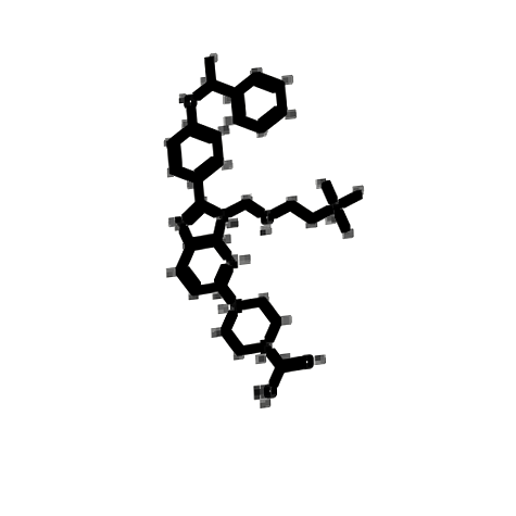 CC(Oc1ccc(-c2nc3ccc(N4CCN(C(=O)O)CC4)nc3n2COCC[Si](C)(C)C)cc1)c1ccccc1